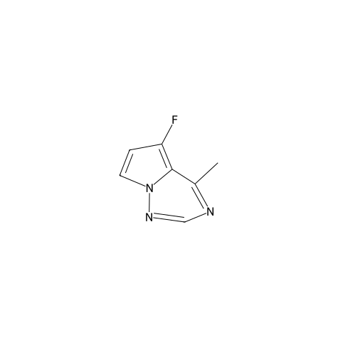 Cc1ncnn2ccc(F)c12